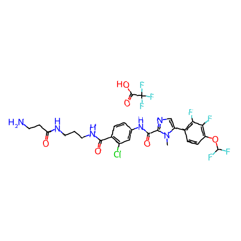 Cn1c(-c2ccc(OC(F)F)c(F)c2F)cnc1C(=O)Nc1ccc(C(=O)NCCCNC(=O)CCN)c(Cl)c1.O=C(O)C(F)(F)F